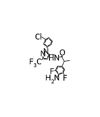 CC(C(=O)NCc1cc(C(F)(F)F)nn1-c1cccc(Cl)c1)c1cc(F)c(N)c(F)c1